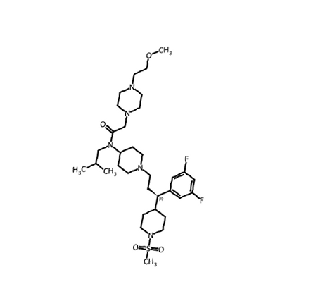 COCCN1CCN(CC(=O)N(CC(C)C)C2CCN(CC[C@@H](c3cc(F)cc(F)c3)C3CCN(S(C)(=O)=O)CC3)CC2)CC1